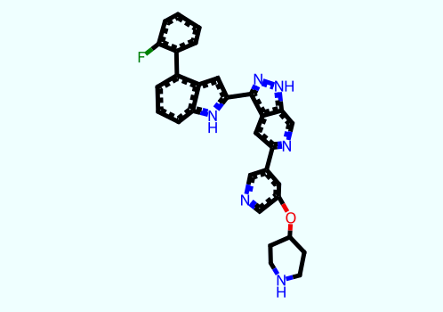 Fc1ccccc1-c1cccc2[nH]c(-c3n[nH]c4cnc(-c5cncc(OC6CCNCC6)c5)cc34)cc12